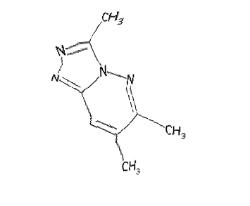 Cc1cc2nnc(C)n2nc1C